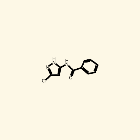 O=C(Nc1cc(Cl)n[nH]1)c1ccccc1